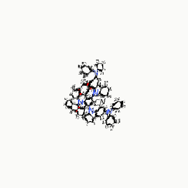 N#Cc1c(-n2c3ccccc3c3cc(N(c4ccccc4)c4ccccc4)ccc32)c(-c2ccccc2)c(N(c2ccccc2)c2cccc3ccccc23)c(-c2ccccc2)c1-n1c2ccccc2c2cc(N(c3ccccc3)c3ccccc3)ccc21